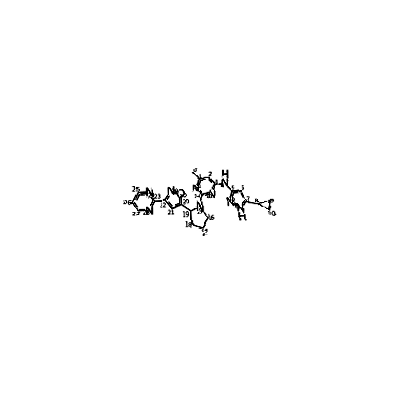 Cc1cc(Nc2cc(C3CC3)[nH]n2)nc(N2CCCC2c2cc(-c3ncccn3)no2)n1